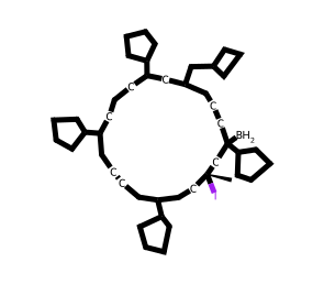 BC1(C2CCCC2)CCCC(CC2CCC2)CC(C2CCCC2)CCCC(C2CCCC2)CCCCC(C2CCCC2)CC[C@@](C)(I)C1